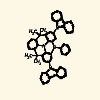 CC1(C)c2cc(-n3c4ccccc4c4ccccc43)cc3c2N2c4c(cc(-n5c6ccccc6c6ccccc65)cc4C(C)(C)c4cccc1c42)B3c1ccccc1